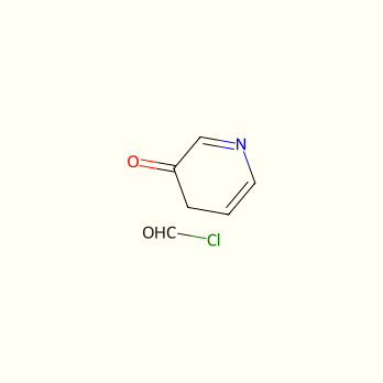 O=C1C=NC=CC1.O=CCl